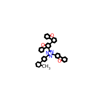 CC1CC=CC=C1c1ccc(-c2nc(-c3ccc4c(c3)oc3ccccc34)nc(-c3cc(-c4cccc5oc6ccccc6c45)cc4oc5ccccc5c34)n2)cc1